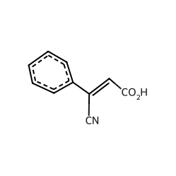 N#C/C(=C\C(=O)O)c1ccccc1